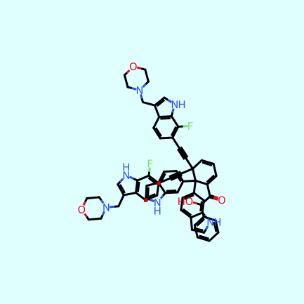 O=C(C1=CC=CC(C#Cc2ccc3c(CN4CCOCC4)c[nH]c3c2F)(C#Cc2ccc3c(CN4CCOCC4)c[nH]c3c2F)C1(c1ccc2cc[nH]c2c1)c1ccc2cc[nH]c2c1)C(O)c1ccccc1